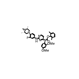 COc1ccc(N(C(=O)Oc2c(C)cccc2C)c2ccnc(Nc3ccc(N4C[C@@H](C)N(C)[C@@H](C)C4)c(F)c3)n2)c(OC)c1